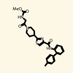 COC(=O)NCC(=O)N1CCC(c2nc(C(=O)Nc3ccccc3-c3ccc(C)cc3)cs2)CC1